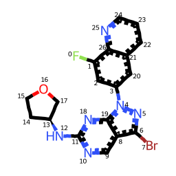 Fc1cc(-n2nc(Br)c3cnc(N[C@H]4CCOC4)nc32)cc2cccnc12